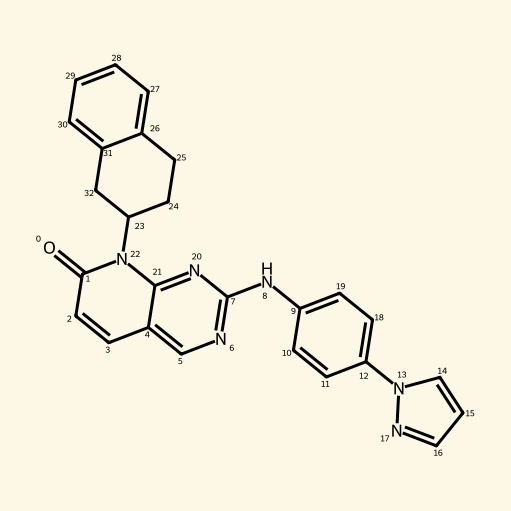 O=c1ccc2cnc(Nc3ccc(-n4cccn4)cc3)nc2n1C1CCc2ccccc2C1